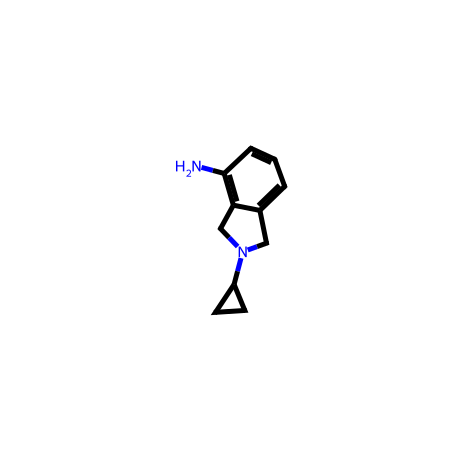 Nc1cccc2c1CN(C1CC1)C2